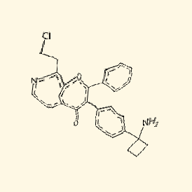 NC1(c2ccc(-c3c(-c4ccccc4)oc4c(CCCl)nccc4c3=O)cc2)CCC1